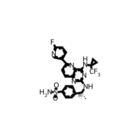 C[C@@H](Nc1nc(NC2(C(F)(F)F)CC2)c2nc(-c3ccc(F)nc3)ccc2n1)c1ccc(S(N)(=O)=O)cc1